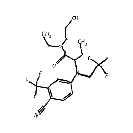 CCCN(CC)C(=O)C(CC)N(CC(F)(F)F)c1ccc(C#N)c(C(F)(F)F)c1